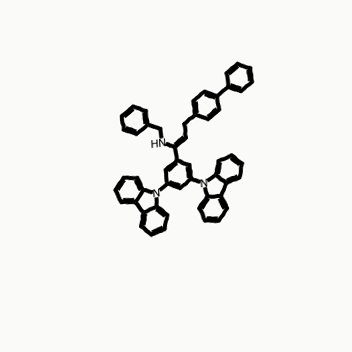 C(/Cc1ccc(-c2ccccc2)cc1)=C(/NCc1ccccc1)c1cc(-n2c3ccccc3c3ccccc32)cc(-n2c3ccccc3c3ccccc32)c1